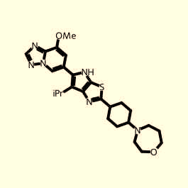 COc1cc(-c2[nH]c3sc(C4CCC(N5CCCOCC5)CC4)nc3c2C(C)C)cn2ncnc12